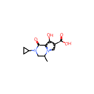 CC1CN(C2CC2)C(=O)c2c(O)c(C(=O)O)cn21